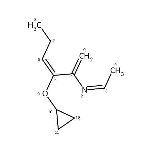 C=C(/N=C\C)/C(=C\CC)OC1CC1